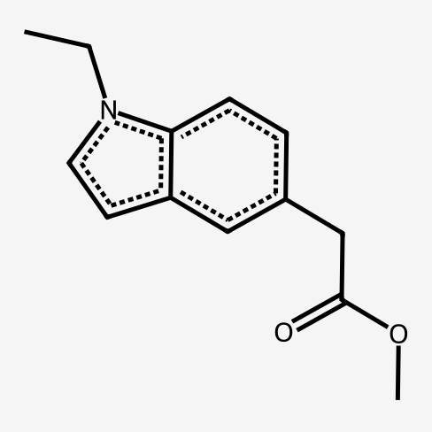 CCn1ccc2cc(CC(=O)OC)ccc21